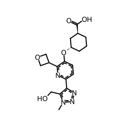 Cn1nnc(-c2ccc(O[C@H]3CCC[C@H](C(=O)O)C3)c(C3COC3)n2)c1CO